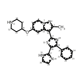 Cc1nn2ccc(OC3CCNCC3)cc2c1-c1nc(-c2ccccc2)c(-c2ncc[nH]2)s1